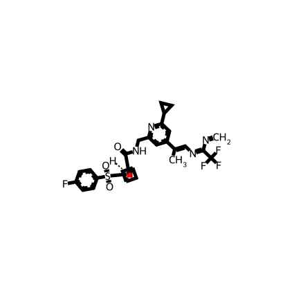 C=N/C(=N\C=C(/C)c1cc(CNC(=O)[C@@H]2C3CC(C3)N2S(=O)(=O)c2ccc(F)cc2)nc(C2CC2)c1)C(F)(F)F